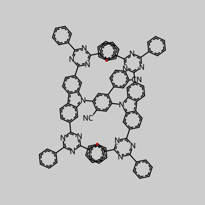 N#Cc1cccc(-c2cc(-n3c4cc(-c5nc(-c6ccccc6)nc(-c6ccccc6)n5)ccc4c4ccc(-c5nc(-c6ccccc6)nc(-c6ccccc6)n5)cc43)c(C#N)cc2-n2c3cc(-c4nc(-c5ccccc5)nc(-c5ccccc5)n4)ccc3c3ccc(-c4nc(-c5ccccc5)nc(-c5ccccc5)n4)cc32)c1